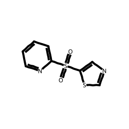 O=S(=O)(c1ccccn1)c1cncs1